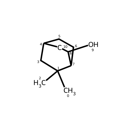 CC1(C)CC2CCC1C(O)C2